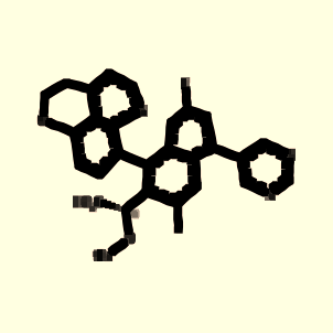 Cc1cc2c(-c3cncnc3)cc(F)cc2c(-c2ccc3c4c(ccnc24)CCO3)c1[C@H](OC(C)(C)C)C(=O)O